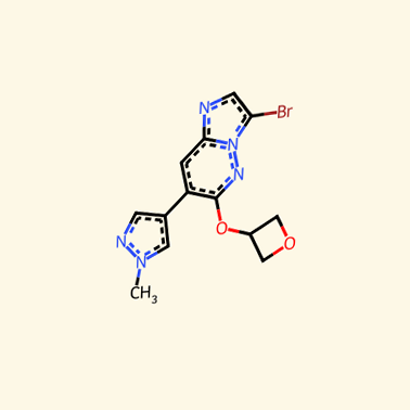 Cn1cc(-c2cc3ncc(Br)n3nc2OC2COC2)cn1